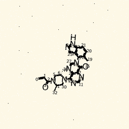 C=CC(=O)N1C[C@H](C)N(c2ncnc3c(=O)n(-c4c(C)ccc5[nH]ncc45)cnc23)C[C@H]1C